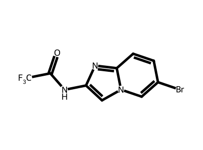 O=C(Nc1cn2cc(Br)ccc2n1)C(F)(F)F